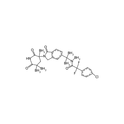 BN(C(=O)C(F)(F)c1ccc(Cl)cc1)C(B)(B)c1ccc2c(c1)CN(C1(B)CC(B)(B)C(=O)NC1=O)C2=O